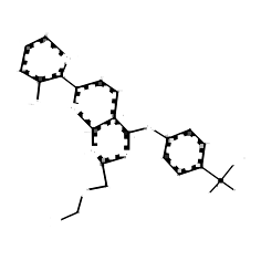 CCOCc1nc(Nc2ccc(C(F)(F)F)cc2)c2ccc(-c3ncccc3Cl)nc2n1